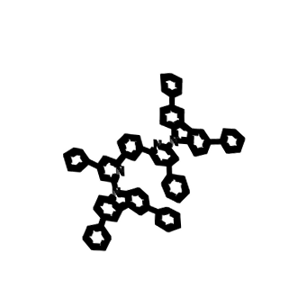 c1ccc(-c2cc(-c3cccc(-c4cc(-c5ccccc5)cc(-n5c6ccc(-c7ccccc7)cc6c6cc(-c7ccccc7)ccc65)n4)c3)nc(-n3c4ccc(-c5ccccc5)cc4c4cc(-c5ccccc5)ccc43)c2)cc1